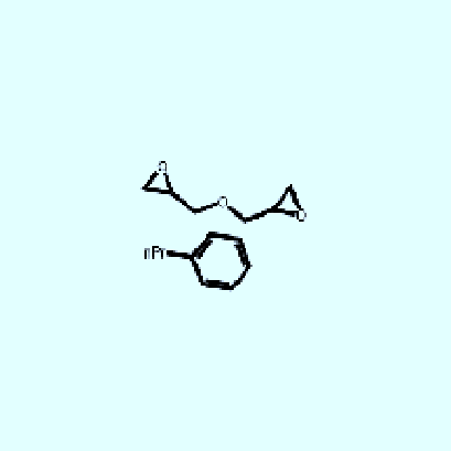 C(OCC1CO1)C1CO1.CCCc1ccccc1